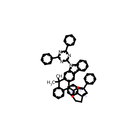 CC1(C)c2ccccc2N(C2=C/CC/C(c3ccccc3)=C/C(c3ccccc3)=C\2)c2cc3c4ccccc4n(-c4nc(-c5ccccc5)nc(-c5ccccc5)n4)c3cc21